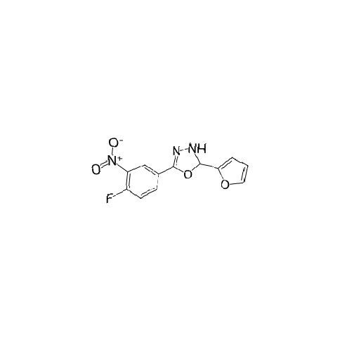 O=[N+]([O-])c1cc(C2=NNC(c3ccco3)O2)ccc1F